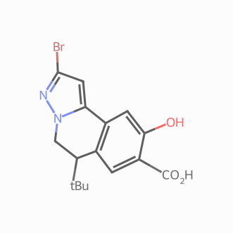 CC(C)(C)C1Cn2nc(Br)cc2-c2cc(O)c(C(=O)O)cc21